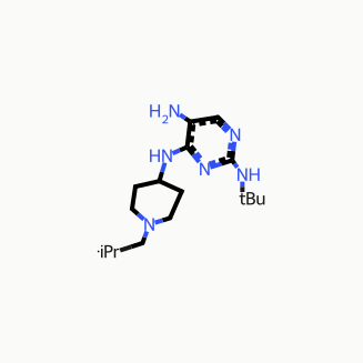 C[C](C)CN1CCC(Nc2nc(NC(C)(C)C)ncc2N)CC1